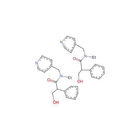 CCN(Cc1ccncc1)C(=O)C(CO)c1ccccc1.CCN(Cc1ccncc1)C(=O)C(CO)c1ccccc1